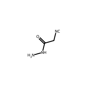 [C-]#[N+]CC(=O)NN